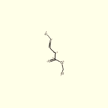 CC/C=C/CC(=O)OCC